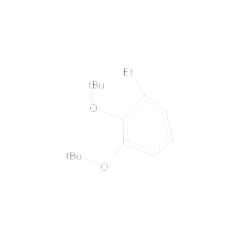 [CH2]Cc1cccc(OC(C)(C)C)c1OC(C)(C)C